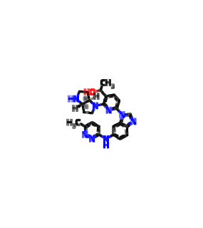 Cc1ccc(Nc2ccc3ncn(-c4ccc(C(C)O)c(N5CC[C@@H]6NCC[C@H]65)n4)c3c2)nn1